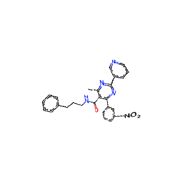 Cc1nc(-c2cccnc2)nc(-c2cccc([N+](=O)[O-])c2)c1C(=O)NCCCc1ccccc1